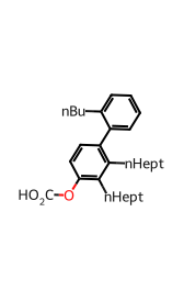 CCCCCCCc1c(OC(=O)O)ccc(-c2ccccc2CCCC)c1CCCCCCC